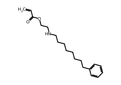 C=CC(=O)OCCNCCCCCCCCc1ccccc1